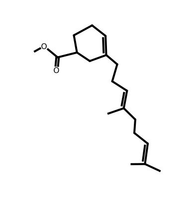 COC(=O)C1CCC=C(CC/C=C(\C)CCC=C(C)C)C1